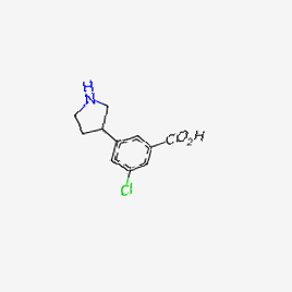 O=C(O)c1cc(Cl)cc(C2CCNC2)c1